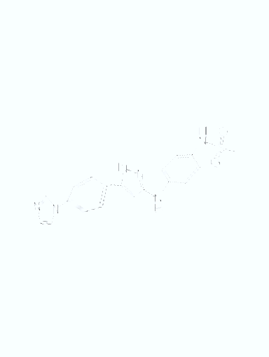 CS(=O)(=O)Nc1ccc(Nc2cc(-c3ccc(-n4ccnc4)cc3)[nH]n2)cc1